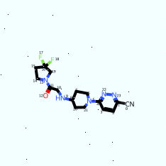 N#Cc1ccc(N2CCC(NCC(=O)N3CCC(F)(F)C3)CC2)nn1